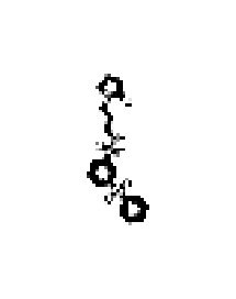 O=C1CCCN1CCCNS(=O)(=O)c1cccc(S(=O)(=O)c2ccccc2)c1